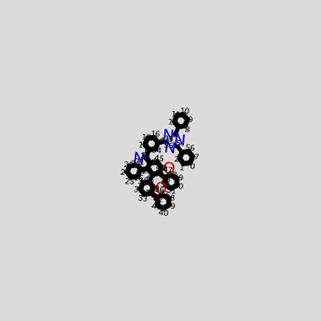 c1ccc(-c2nc(-c3ccccc3)nc(-c3cccc(-c4nc5ccccc5c5c(-c6cccc7c6oc6ccccc67)c6c(cc45)oc4ccccc46)c3)n2)cc1